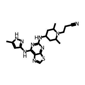 Cc1cc(Nc2nc(NC3CC(C)N(CCC#N)C(C)C3)nc3scnc23)n[nH]1